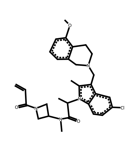 C=CC(=O)N1CC(N(C)C(=O)C(C)n2c(C)c(CN3CCc4c(cccc4OC)C3)c3cc(Cl)ccc32)C1